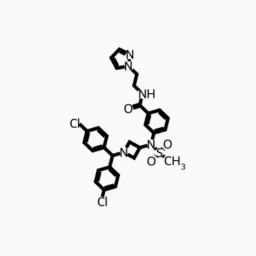 CS(=O)(=O)N(c1cccc(C(=O)NCCn2cccn2)c1)C1CN(C(c2ccc(Cl)cc2)c2ccc(Cl)cc2)C1